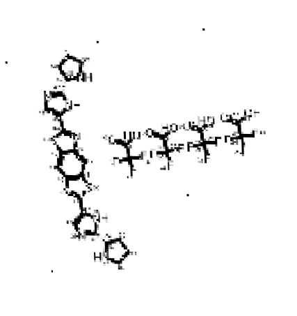 O=C(O)C(F)(F)F.O=C(O)C(F)(F)F.O=C(O)C(F)(F)F.O=C(O)C(F)(F)F.c1nc([C@@H]2CCCN2)[nH]c1-c1nc2cc3sc(-c4cnc([C@@H]5CCCN5)[nH]4)nc3cc2s1